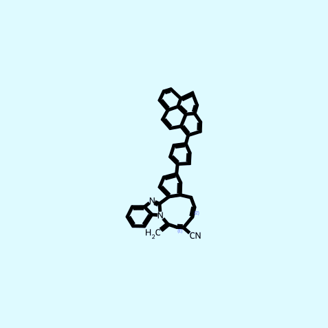 C=C1/C=C(C#N)\C=C/Cc2cc(-c3ccc(-c4ccc5ccc6cccc7ccc4c5c67)cc3)ccc2-c2nc3ccccc3n21